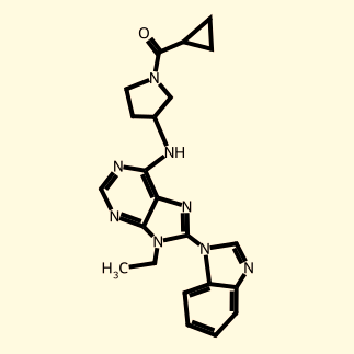 CCn1c(-n2cnc3ccccc32)nc2c(NC3CCN(C(=O)C4CC4)C3)ncnc21